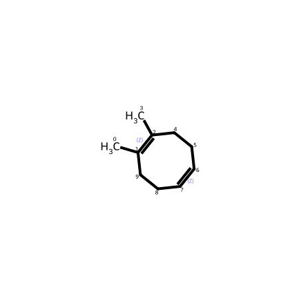 C/C1=C(\C)CC/C=C\CC1